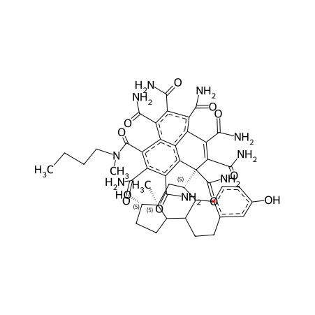 CCCCN(C)C(=O)c1c(C(N)=O)c(C(N)=O)c2c3c(c(C(N)=O)c(C(N)=O)c(C(N)=O)c13)C(C(N)=O)=C(C(N)=O)C2(C(N)=O)[C@H]1C[C@@]2(C)C(CC[C@@H]2O)C2CCc3cc(O)ccc3C21